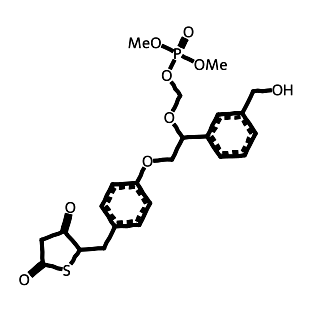 COP(=O)(OC)OCOC(COc1ccc(CC2SC(=O)CC2=O)cc1)c1cccc(CO)c1